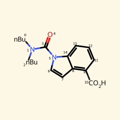 CCCCN(CCCC)C(=O)n1ccc2c(C(=O)O)cccc21